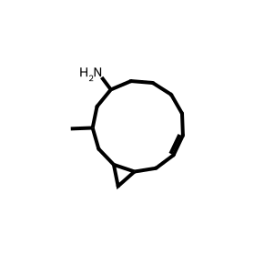 CC1CC(N)CCCC/C=C\CC2CC2C1